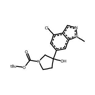 Cn1ncc2c(Cl)cc(C3(O)CCN(C(=O)OC(C)(C)C)C3)cc21